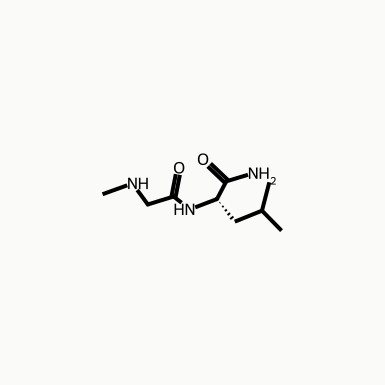 CNCC(=O)N[C@@H](CC(C)C)C(N)=O